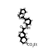 CCOC(=O)N1CCc2cnc(C(=O)Nc3cccc(-c4nnc5n4CCC5)n3)cc2C1